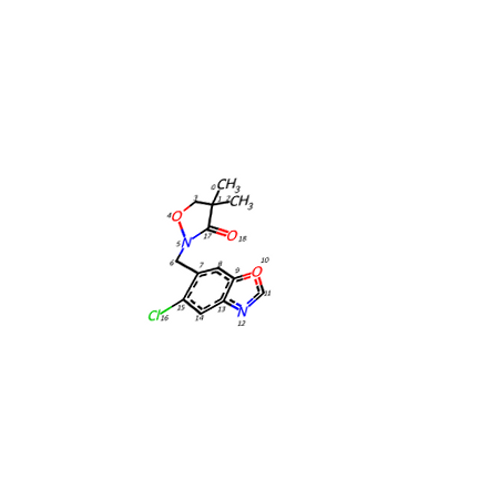 CC1(C)CON(Cc2cc3ocnc3cc2Cl)C1=O